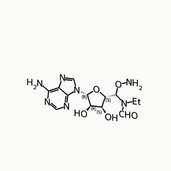 CCN(C=O)C(ON)[C@H]1O[C@@H](n2cnc3c(N)ncnc32)[C@H](O)[C@@H]1O